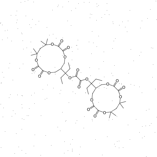 CCC(CC)(OC(=O)C(=O)OC(CC)(CC)C1COC(=O)C(=O)OC(C)(C)CC(C)(C)OC(=O)C(=O)OC1)C1COC(=O)C(=O)OC(C)(C)CC(C)(C)OC(=O)C(=O)OC1